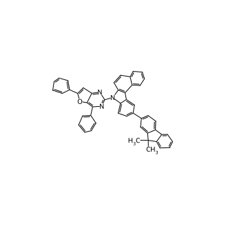 CC1(C)c2ccccc2-c2ccc(-c3ccc4c(c3)c3c5ccccc5ccc3n4-c3nc(-c4ccccc4)c4oc(-c5ccccc5)cc4n3)cc21